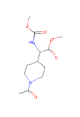 COC(=O)NC(C(=O)OC)C1CCN(C(C)=O)CC1